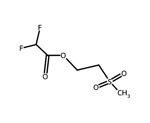 CS(=O)(=O)CCOC(=O)C(F)F